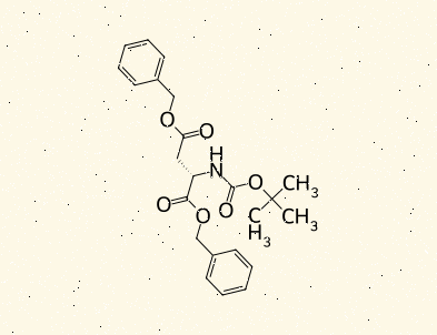 CC(C)(C)OC(=O)N[C@@H](CC(=O)OCc1ccccc1)C(=O)OCc1ccccc1